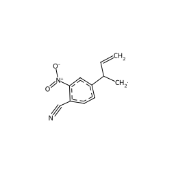 [CH2]C(C=C)c1ccc(C#N)c([N+](=O)[O-])c1